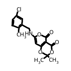 Cc1ccc(Cl)cc1CNc1cc2c(c(=O)o1)C(=O)OC(C)(C)O2